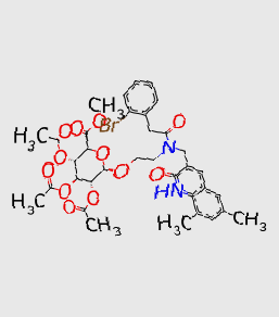 COC(=O)[C@H]1O[C@@H](OCCN(Cc2cc3cc(C)cc(C)c3[nH]c2=O)C(=O)Cc2ccccc2Br)[C@H](OC(C)=O)[C@@H](OC(C)=O)[C@@H]1OC(C)=O